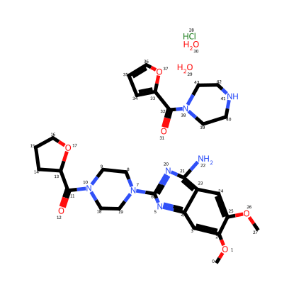 COc1cc2nc(N3CCN(C(=O)C4CCCO4)CC3)nc(N)c2cc1OC.Cl.O.O.O=C(c1ccco1)N1CCNCC1